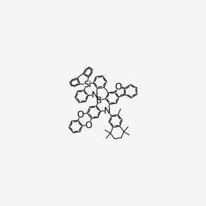 Cc1cc2c(cc1N1c3cc4c(cc3B3c5c1cc1c(oc6ccccc61)c5-c1cccc5c1N3c1ccccc1[Si]51c3ccccc3-c3ccccc31)Oc1ccccc1O4)C(C)(C)CCC2(C)C